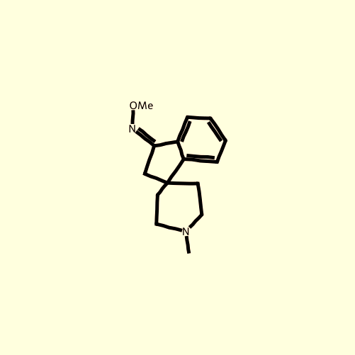 CO/N=C1/CC2(CCN(C)CC2)c2ccccc21